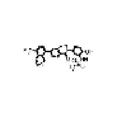 CS(=O)(=O)Nc1cc(N2CCc3cc(-c4ccc(C(F)(F)F)c5ccncc45)ccc3C2=O)ccc1O